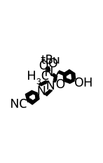 CN(C(=O)OC(C)(C)C)[C@@H](Cc1ccc(O)cc1)C(=O)N1CCN(c2ccc(C#N)cc2)CC1